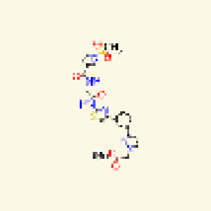 CC(C)(C)OC(=O)Cn1ccc(-c2cccc(-c3csc(NC(=O)CNC(=O)c4ccn(S(C)(=O)=O)c4)n3)c2)n1